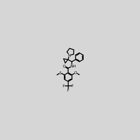 COc1cc(C(F)(F)F)cc(SC)c1C(=O)NC(c1ccccc1)C1(N2CCCC2)CC1